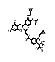 CC(C)(C)OC(=O)N(c1ccc(C(=O)OCC(=O)O[C@@H](Cc2c(Cl)c[n+]([O-])cc2Cl)c2ccc(OC(F)F)c(OCC3CC3)c2)cc1OCC1CC1)S(C)(=O)=O